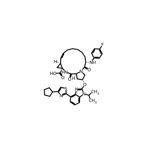 CC(C)n1c(O[C@@H]2C[C@H]3C(=O)N[C@]4(C(=O)O)C[C@H]4/C=C\CCCCC[C@H](Nc4ccc(F)cc4)C(=O)N3C2)nc2c(-c3nc(C4CCCC4)cs3)cccc21